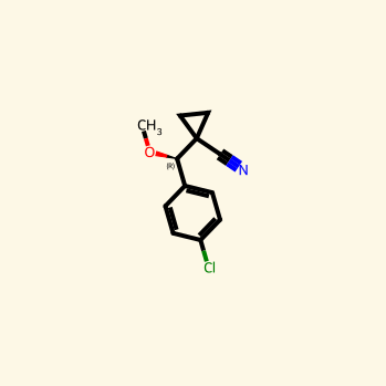 CO[C@H](c1ccc(Cl)cc1)C1(C#N)CC1